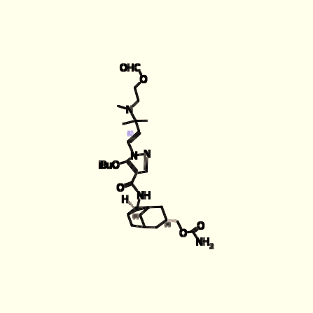 CC(C)COc1c(C(=O)N[C@@H]2C3CC4C[C@@H](COC(N)=O)CC2(C4)C3)cnn1/C=C/C(C)(C)N(C)CCOC=O